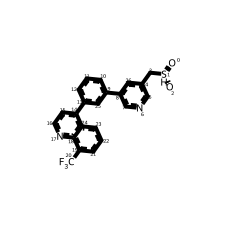 O=[SH](=O)Cc1cncc(-c2cccc(-c3ccnc4c(C(F)(F)F)cccc34)c2)c1